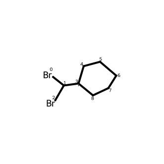 BrC(Br)[C]1CCCCC1